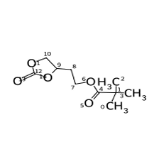 CC(C)(C)C(=O)OCCC1COC(=O)O1